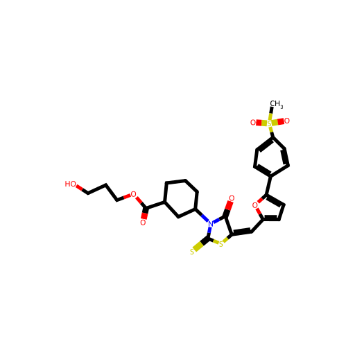 CS(=O)(=O)c1ccc(-c2ccc(C=C3SC(=S)N(C4CCCC(C(=O)OCCCO)C4)C3=O)o2)cc1